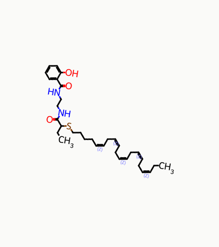 CC/C=C\C/C=C\C/C=C\C/C=C\C/C=C\CCCCSC(CC)C(=O)NCCNC(=O)c1ccccc1O